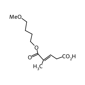 COCCCCOC(=O)C(C)=CCC(=O)O